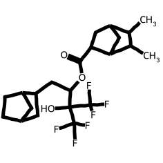 CC1C2CC(C(=O)OC(CC3CC4CCC3C4)C(O)(C(F)(F)F)C(F)(F)F)C(C2)C1C